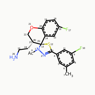 CC(=O)N1N=C(c2cc(C)cc(F)c2)S[C@@]12c1cc(F)ccc1OC[C@H]2CCN